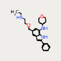 CCNCCOCc1cc(NC2CCOCC2)c2[nH]c(-c3ccccc3)cc2c1